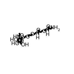 CC(=O)N[C@@H]1C(OCCOCCOCCNC(=O)CCOCNC(=O)CN)OC(CO)[C@H](O)[C@@H]1O